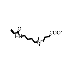 C=CC(=O)NCCCC[N+](C)(C)CCCC(=O)[O-]